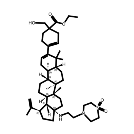 C=C(C)[C@@H]1CC[C@]2(NCCN3CCS(=O)(=O)CC3)CC[C@]3(C)[C@H](CC[C@@H]4[C@@]5(C)CC=C(C6=CCC(CO)(C(=O)OCC)CC6)C(C)(C)[C@@H]5CC[C@]43C)[C@@H]12